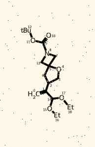 C=C(C1COC2(C1)CN(C(=O)OC(C)(C)C)C2)C(OCC)OCC